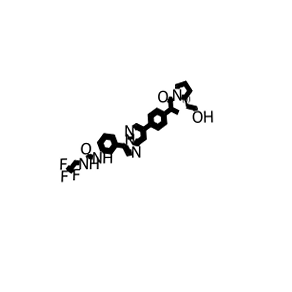 CC(C(=O)N1CCC[C@H]1CCO)c1ccc(-c2cnn3c(-c4cccc(NC(=O)NCC(F)(F)F)c4)cnc3c2)cc1